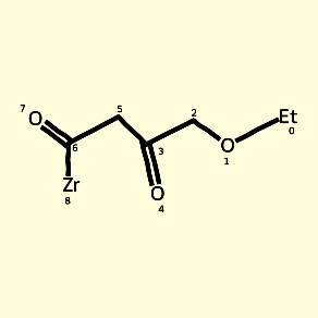 CCOCC(=O)C[C](=O)[Zr]